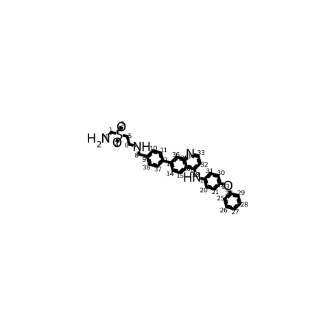 NCS(=O)(=O)CCNCc1ccc(-c2ccc3c(Nc4ccc(Oc5ccccc5)cc4)ccnc3c2)cc1